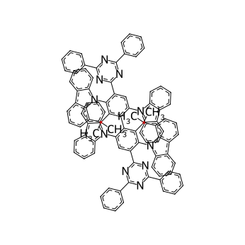 CC1(C)c2c(-c3c(-n4c5ccccc5c5ccccc54)cc(-c4nc(-c5ccccc5)nc(-c5ccccc5)n4)c4c3C(C)(C)c3cccc5c6ccccc6n-4c35)c(-n3c4ccccc4c4ccccc43)cc(-c3nc(-c4ccccc4)nc(-c4ccccc4)n3)c2-n2c3ccccc3c3cccc1c32